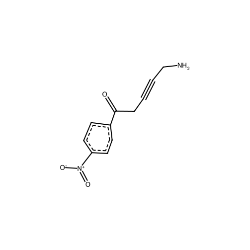 NCC#CCC(=O)c1ccc([N+](=O)[O-])cc1